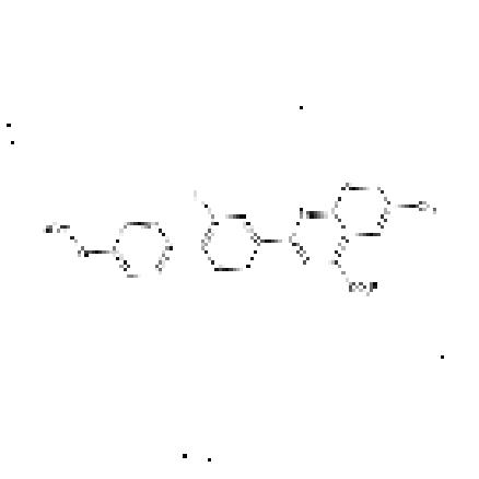 CCCCCCCCOc1ccc(-c2ccc(-c3cc(C(=O)O)c4cc(C(F)(F)F)ccc4n3)cc2F)cc1